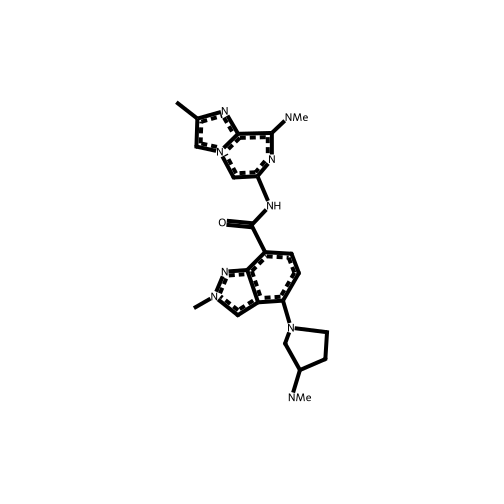 CNc1nc(NC(=O)c2ccc(N3CCC(NC)C3)c3cn(C)nc23)cn2cc(C)nc12